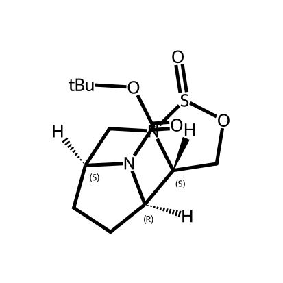 CC(C)(C)OC(=O)N1[C@H]2CC[C@@H]1[C@H]1COS(=O)N1C2